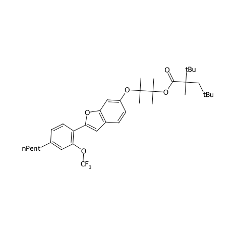 CCCCCc1ccc(-c2cc3ccc(OC(C)(C)C(C)(C)OC(=O)C(C)(CC(C)(C)C)C(C)(C)C)cc3o2)c(OC(F)(F)F)c1